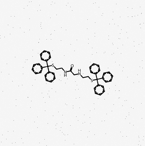 O=C(CNCCSC(c1ccccc1)(c1ccccc1)c1ccccc1)NCCSC(c1ccccc1)(c1ccccc1)c1ccccc1